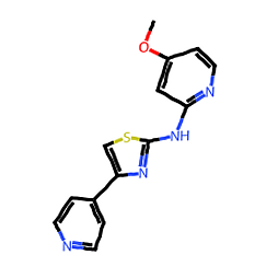 COc1ccnc(Nc2nc(-c3ccncc3)cs2)c1